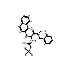 CN(Cc1ccccc1F)C(=O)C(Cc1ccc2ccccc2c1)NC(=O)OC(C)(C)C